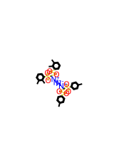 Cc1ccc(S(=O)(=O)C(=[N+]=[N-])S(=O)(=O)c2ccc(C)cc2)cc1.Cc1cccc(S(=O)(=O)C(=[N+]=[N-])S(=O)(=O)c2cccc(C)c2C)c1C